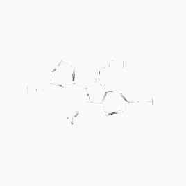 CCn1c(-c2cccc(O)c2)c(C#N)c2ccc(C)cc21